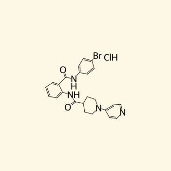 Cl.O=C(Nc1ccc(Br)cc1)c1ccccc1NC(=O)C1CCN(c2ccncc2)CC1